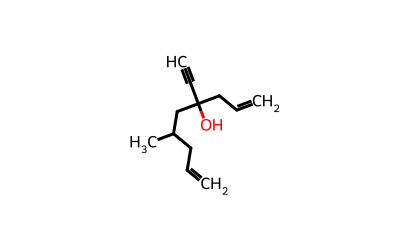 C#CC(O)(CC=C)CC(C)CC=C